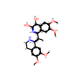 COc1cc2c(cc1OC)/C(=C(\C)c1nc(O)c(O)c3cc(OC)c(OC)cc13)NCC2